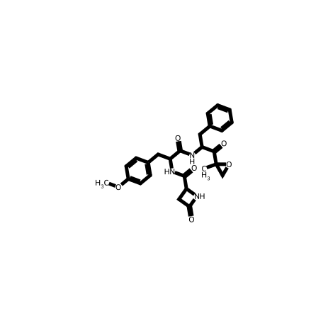 COc1ccc(CC(NC(=O)C2CC(=O)N2)C(=O)NC(Cc2ccccc2)C(=O)C2(C)CO2)cc1